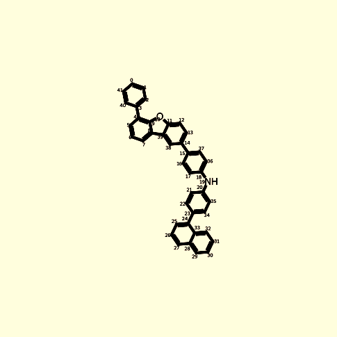 c1ccc(-c2cccc3c2oc2ccc(-c4ccc(Nc5ccc(-c6cccc7ccccc67)cc5)cc4)cc23)cc1